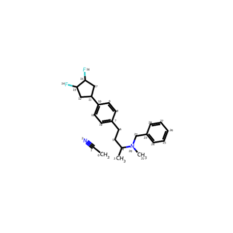 CC#N.CC(CCc1ccc(C2CC(F)C(F)C2)cc1)N(C)Cc1ccccc1